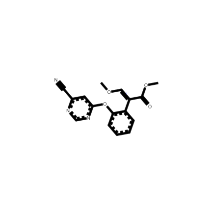 CO/C=C(/C(=O)OC)c1ccccc1Oc1cc(C#N)ncn1